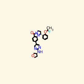 CC(F)Oc1ccccc1[C@H]1CCn2c(=O)c3ccc(-c4cnc(N[C@@H]5CCOC5)nc4)cc3n21